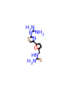 NC(=S)NCc1ccc(-c2csc(N=C(N)N)n2)o1